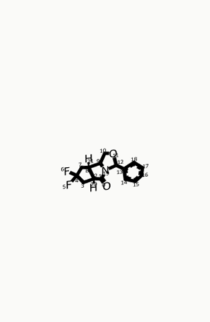 O=C1[C@@H]2CC(F)(F)C[C@@H]2C2COC(c3ccccc3)N12